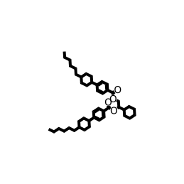 CCCCCCC1CCC(c2ccc(C(=O)OCC(OC(=O)c3ccc(C4CCC(CCCCCC)CC4)cc3)C3CCCCC3)cc2)CC1